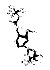 COc1cc(B2OC(C)(C)C(C)(C)O2)ccc1CNC(=O)OC(C)(C)C